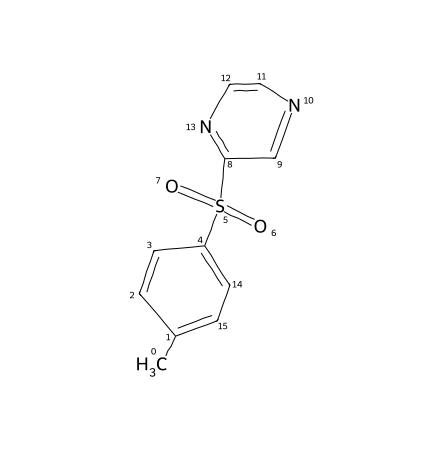 Cc1ccc(S(=O)(=O)c2cnccn2)cc1